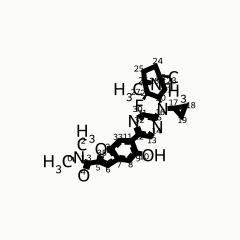 CN(C)C(=O)c1cc2cc(O)c(-c3cnc(N(C4CC4)[C@@H]4C[C@@]5(C)CC[C@](C)(N5)[C@@H]4F)cn3)cc2o1